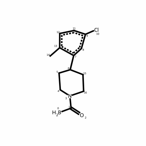 BC(=O)N1CCC(c2cc(Cl)ccc2C)CC1